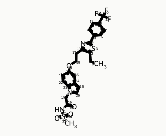 CCc1sc(-c2ccc(C(F)(F)F)cc2)nc1CCOc1ccc2c(ccn2CC(=O)NS(C)(=O)=O)c1